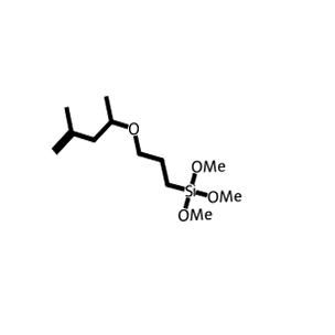 C=C(C)CC(C)OCCC[Si](OC)(OC)OC